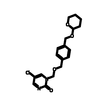 O=c1ncc(Cl)cn1COCc1ccc(COC2CCCCO2)cc1